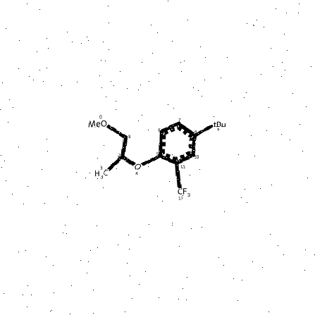 COCC(C)Oc1ccc(C(C)(C)C)cc1C(F)(F)F